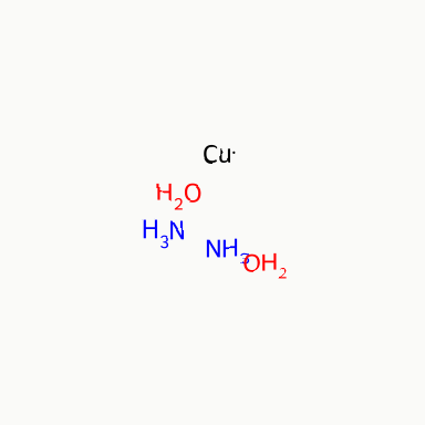 N.N.O.O.[Cu]